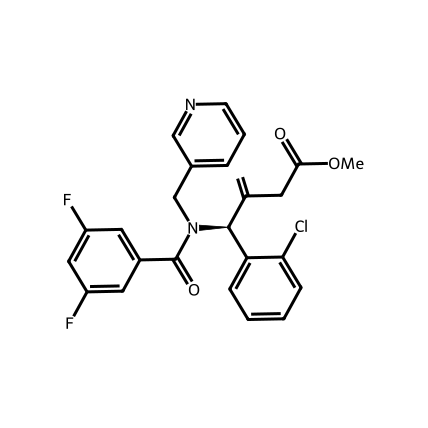 C=C(CC(=O)OC)[C@@H](c1ccccc1Cl)N(Cc1cccnc1)C(=O)c1cc(F)cc(F)c1